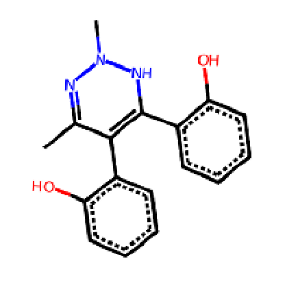 CC1=NN(C)NC(c2ccccc2O)=C1c1ccccc1O